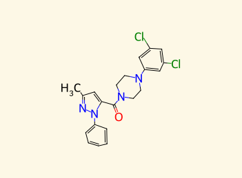 Cc1cc(C(=O)N2CCN(c3cc(Cl)cc(Cl)c3)CC2)n(-c2ccccc2)n1